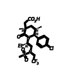 CC[C@@H](CN(CC(F)(F)F)S(C)(=O)=O)N1C(=O)[C@@](C)(CC(=O)O)C[C@H](C)[C@H]1c1ccc(Cl)cc1